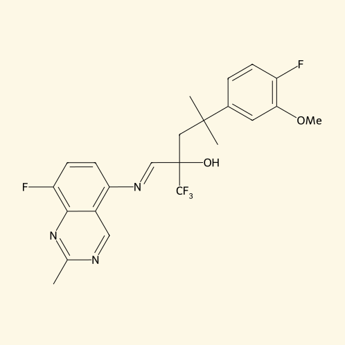 COc1cc(C(C)(C)CC(O)(/C=N/c2ccc(F)c3nc(C)ncc23)C(F)(F)F)ccc1F